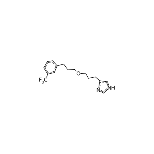 FC(F)(F)c1cccc(CCCOCCCc2c[nH]cn2)c1